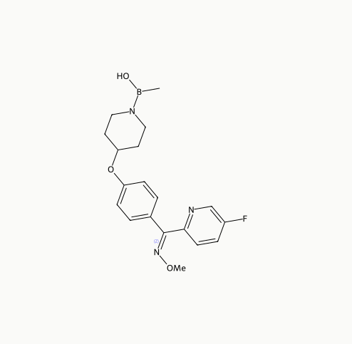 CO/N=C(/c1ccc(OC2CCN(B(C)O)CC2)cc1)c1ccc(F)cn1